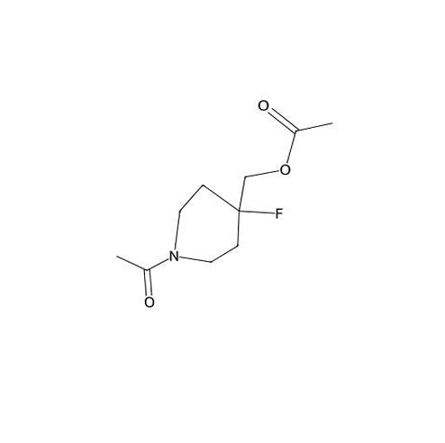 CC(=O)OCC1(F)CCN(C(C)=O)CC1